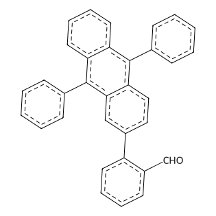 O=Cc1ccccc1-c1ccc2c(-c3ccccc3)c3ccccc3c(-c3ccccc3)c2c1